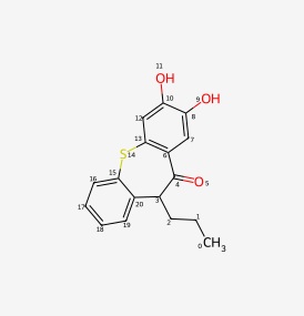 CCCC1C(=O)c2cc(O)c(O)cc2Sc2ccccc21